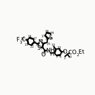 CCOC(=O)C(C)(C)Oc1ccc(CNC(=O)c2sc(-c3ccc(C(F)(F)F)cc3)nc2Cc2cccs2)c(C)c1